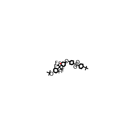 CC(C)(C)Oc1ccc(C(c2ccc(Oc3ccc(S(=O)(=O)c4ccc(C(C)(C)C)cc4)cc3)cc2)(C(F)(F)F)C(F)(F)F)cc1